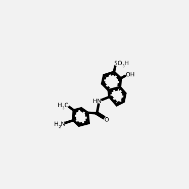 Cc1cc(C(=O)Nc2cccc3c(O)c(S(=O)(=O)O)ccc23)ccc1N